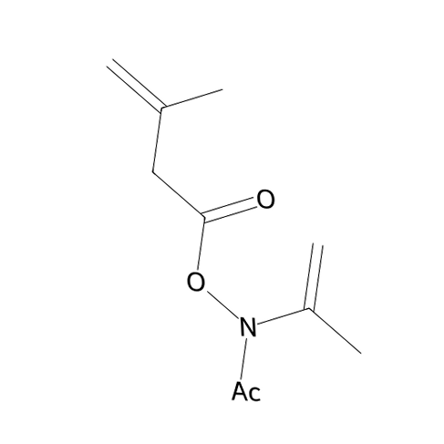 C=C(C)CC(=O)ON(C(=C)C)C(C)=O